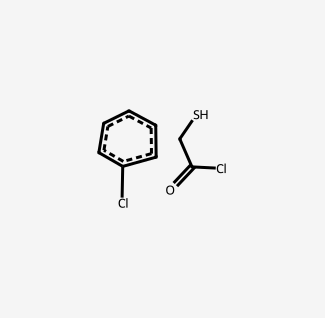 Clc1ccccc1.O=C(Cl)CS